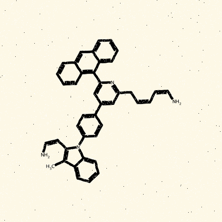 Cc1c(/C=C\N)n(-c2ccc(-c3cc(C/C=C\C=C/N)nc(-c4c5ccccc5cc5ccccc45)c3)cc2)c2ccccc12